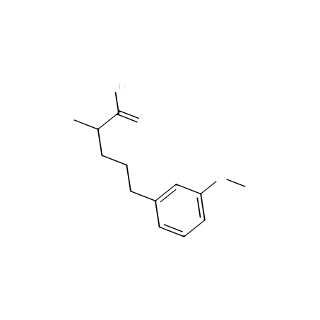 COc1cccc(CCCC(C)C(=O)O)c1